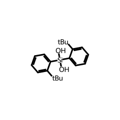 CC(C)(C)c1ccccc1[Si](O)(O)c1ccccc1C(C)(C)C